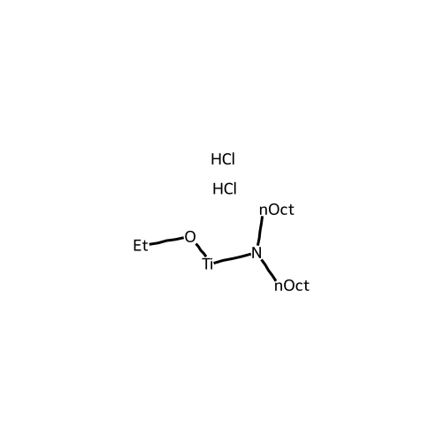 CCCCCCCC[N](CCCCCCCC)[Ti][O]CC.Cl.Cl